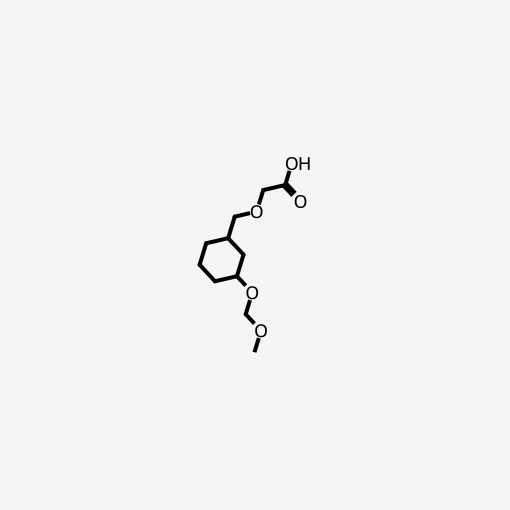 COCOC1CCCC(COCC(=O)O)C1